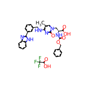 Cc1cn(C[C@H](NC(=O)OCc2ccccc2)C(=O)O)c(=O)nc1NCc1cccc(-c2nc3ccccc3[nH]2)c1.O=C(O)C(F)(F)F